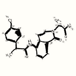 CC(C(=O)Nc1cccc2c(=O)n([C@H](C)C(N)=O)ccc12)c1ccc(Cl)cc1